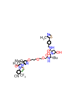 COc1cc(OCCCCOCCOCC(=O)N[C@H](C(=O)N2C[C@H](O)C[C@H]2C(=O)NCc2ccc(-c3scnc3C)cc2)C(C)(C)C)ncc1N1C(=S)N(c2ccc(C#N)c(C(F)(F)F)c2F)C(=O)C1(C)C